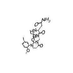 COc1ccc(I)cc1N1CCC(=O)N(CNC(=O)C(CC(N)=O)NC(C)=O)C1=O